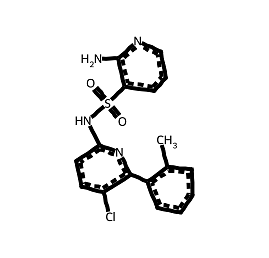 Cc1ccccc1-c1nc(NS(=O)(=O)c2cccnc2N)ccc1Cl